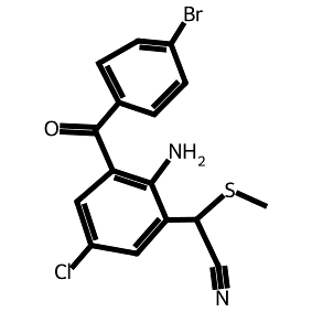 CSC(C#N)c1cc(Cl)cc(C(=O)c2ccc(Br)cc2)c1N